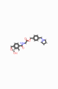 Cc1c(C(=O)NCC(=O)OCc2ccc(CN3CCCC3)cc2)ccc2c1B(O)OC2